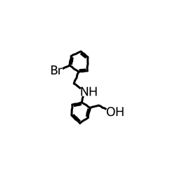 OCc1ccccc1NCc1ccccc1Br